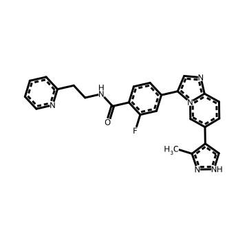 Cc1n[nH]cc1-c1ccc2ncc(-c3ccc(C(=O)NCCc4ccccn4)c(F)c3)n2c1